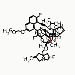 C=C1CN2C[C@@H](F)C[C@@]2(COc2nc(N3CC4CCC(C3)N4C(=O)OC(C)(C)C)c3cnc(-c4cc(OCOC)cc5ccc(F)c(C#C[Si](C(C)C)(C(C)C)C(C)C)c45)c(F)c3n2)C1